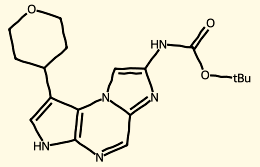 CC(C)(C)OC(=O)Nc1cn2c(cnc3[nH]cc(C4CCOCC4)c32)n1